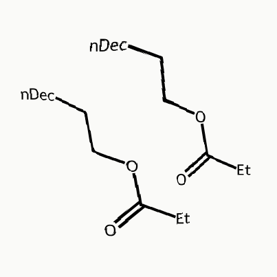 CCCCCCCCCCCCOC(=O)CC.CCCCCCCCCCCCOC(=O)CC